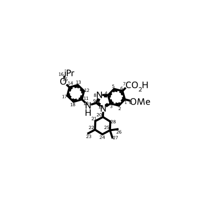 COc1cc2c(cc1C(=O)O)nc(Nc1ccc(OC(C)C)cc1)n2C1CC(C)CC(C)(C)C1